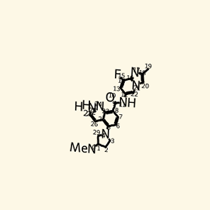 CNC1CCN(c2ccc(C(=O)Nc3cc(F)c4nc(C)cn4c3)c(N)c2/C=C\N)C1